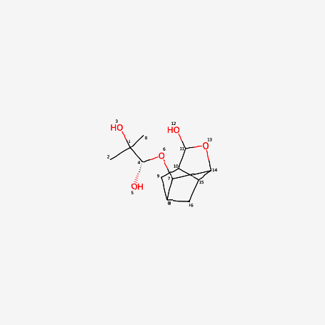 CC(C)(O)[C@@H](O)OC1C2CC3C(O)OC1C3C2